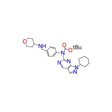 CC(C)(C)OC(=O)N(c1ccc(CNC2CCOCC2)cc1)c1ncc2cnn(C3CCCCC3)c2n1